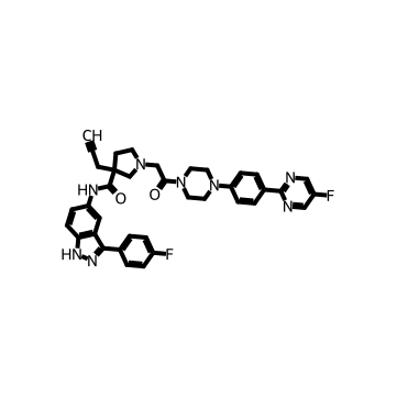 C#CCC1(C(=O)Nc2ccc3[nH]nc(-c4ccc(F)cc4)c3c2)CCN(CC(=O)N2CCN(c3ccc(-c4ncc(F)cn4)cc3)CC2)C1